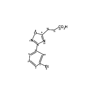 CCc1cccc(-c2noc(CCC(=O)O)n2)c1